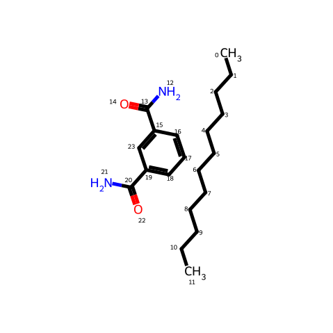 CCCCCCCCCCCC.NC(=O)c1cccc(C(N)=O)c1